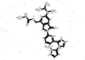 CNC(=O)OCc1nc(N(C)C(C)C)cc2c1CN(c1cccc(-c3nncn3-c3ccnn3C)n1)C2=O